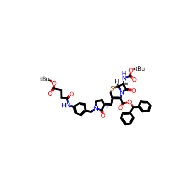 CC(C)(C)OC(=O)CCC(=O)Nc1ccc(CN2CC/C(=C\C3=C(C(=O)OC(c4ccccc4)c4ccccc4)N4C(=O)[C@@H](NC(=O)OC(C)(C)C)[C@H]4SC3)C2=O)cc1